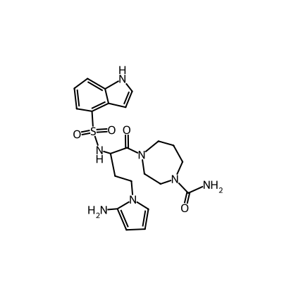 NC(=O)N1CCCN(C(=O)C(CCn2cccc2N)NS(=O)(=O)c2cccc3[nH]ccc23)CC1